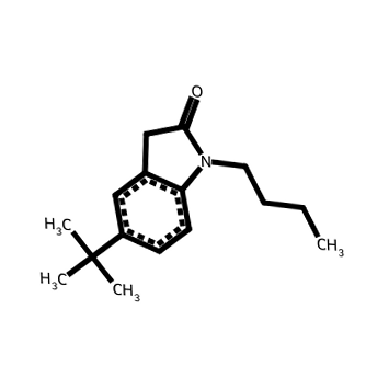 CCCCN1C(=O)Cc2cc(C(C)(C)C)ccc21